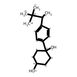 CC(c1ccc(C2(O)CCC(O)CC2)cc1)C(C)(C)C